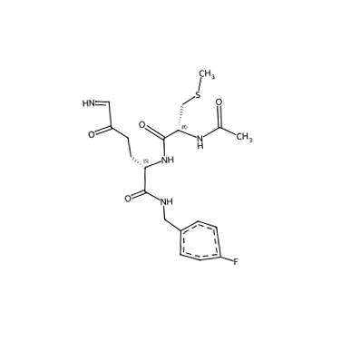 CSC[C@H](NC(C)=O)C(=O)N[C@@H](CCC(=O)C=N)C(=O)NCc1ccc(F)cc1